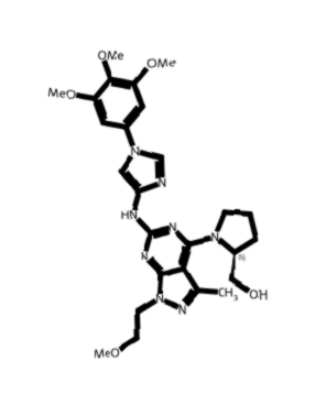 COCCn1nc(C)c2c(N3CCC[C@H]3CO)nc(Nc3cn(-c4cc(OC)c(OC)c(OC)c4)cn3)nc21